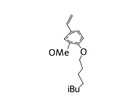 C=Cc1ccc(OCCCCC(C)CC)c(OC)c1